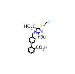 CCCCc1nc(SCCF)c(C(=O)O)n1Cc1ccc(-c2ccccc2C(=O)O)cc1